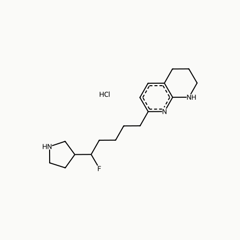 Cl.FC(CCCCc1ccc2c(n1)NCCC2)C1CCNC1